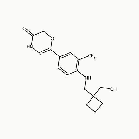 O=C1COC(c2ccc(NCC3(CO)CCC3)c(C(F)(F)F)c2)=NN1